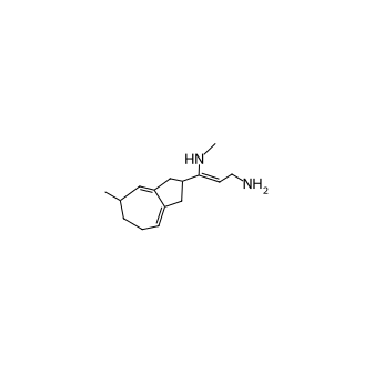 CNC(=CCN)C1CC2=CCCC(C)C=C2C1